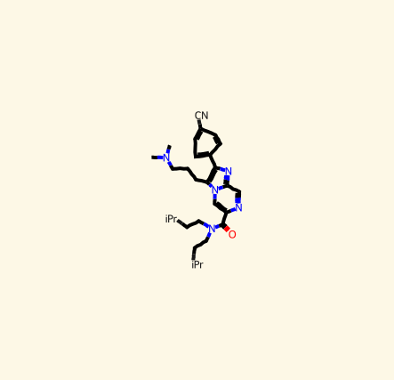 CC(C)CCN(CCC(C)C)C(=O)c1cn2c(CCCN(C)C)c(-c3ccc(C#N)cc3)nc2cn1